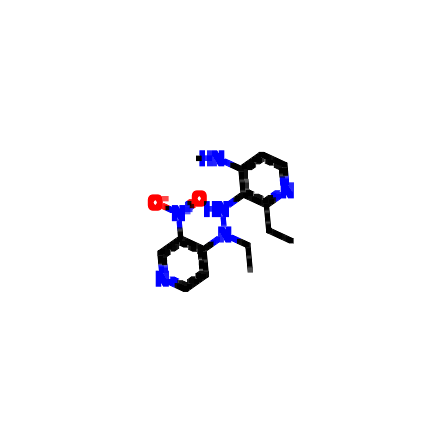 CCc1nccc([NH])c1NN(CC)c1ccncc1[N+](=O)[O-]